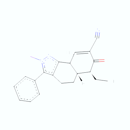 CC[C@@H]1C(=O)C(C#N)=C[C@]2(C)c3nn(I)c(-c4ccccc4)c3CC[C@@H]12